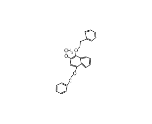 COc1cc(OCCc2ccccc2)c2ccccc2c1OCCc1ccccc1